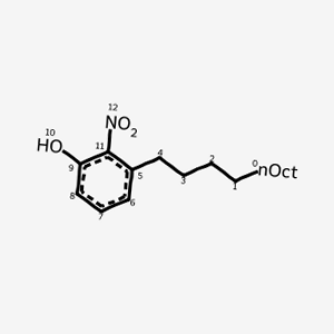 CCCCCCCCCCCCc1cccc(O)c1[N+](=O)[O-]